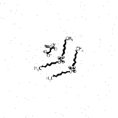 CCCCCCCCOS(=O)(=O)OCCCCCCCC.CCCCCCCCOS(=O)(=O)OCCCCCCCC.O=C([O-])CCC(=O)[O-].[Na+].[Na+]